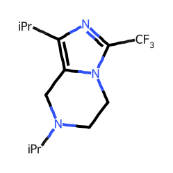 CC(C)c1nc(C(F)(F)F)n2c1CN(C(C)C)CC2